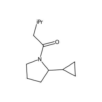 CC(C)CC(=O)N1CCCC1C1CC1